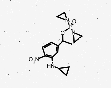 CC(OP(=O)(N1CC1)N1CC1)c1ccc([N+](=O)[O-])c(NC2CC2)c1